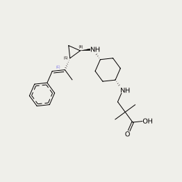 C/C(=C\c1ccccc1)[C@@H]1C[C@H]1N[C@H]1CC[C@@H](NCC(C)(C)C(=O)O)CC1